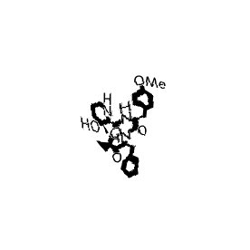 COc1ccc(C[C@H](NC(=O)[C@@H]2NCCC[C@@]2(C)O)C(=O)N[C@@H](Cc2ccccc2)C(=O)C2(C)CC2)cc1